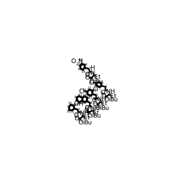 CCC(NC(=O)Cc1ccc(Cl)cc1)C(=O)OCC(C)C.CCC(NC(=O)Cc1ccc(Cl)cc1Cl)C(=O)OCC(C)C.CCC(NC(=O)Cc1ccc2ccccc2c1)C(=O)OCC(C)C.CCC(NC(=O)Cc1cccc([N+](=O)[O-])c1)C(=O)OCC(C)C.CCC(NC(=O)Cc1ccccc1O)C(=O)OCC(C)C